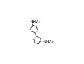 CC(=O)Nc1ccc(-c2[c]ccc(NC(C)=O)c2)cc1